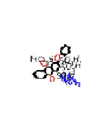 N.N.N.N.O=C1C2=C(C(=O)c3ccccc31)C(S(=O)(=O)O)C(Oc1ccccc1)(S(=O)(=O)O)C(S(=O)(=O)O)=C2S(=O)(=O)O